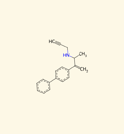 C#CCNC(C)C(=C)c1ccc(-c2ccccc2)cc1